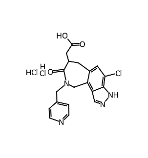 Cl.Cl.O=C(O)CC1Cc2cc(Cl)c3[nH]ncc3c2CN(Cc2ccncc2)C1=O